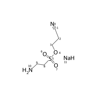 N#CCCOS(=O)(=O)CCN.[NaH]